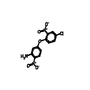 Nc1cc(Oc2ccc(Cl)cc2[N+](=O)[O-])ccc1[N+](=O)[O-]